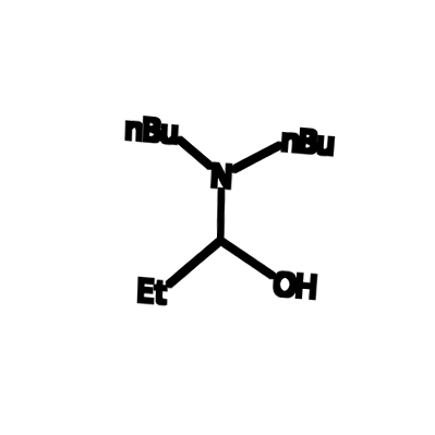 CCCCN(CCCC)C(O)CC